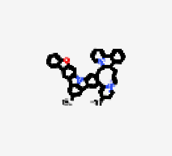 CC(C)(C)c1cc[n+]2c(c1)-c1cc3c4cc(C(C)(C)C)cc5c6cc7c(cc6n(c3cc1CC1C(C/C=C/2)c2ccccc2-c2cccc[n+]21)c45)oc1ccccc17